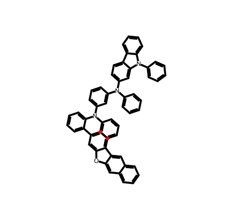 c1ccc(N(c2cccc(N(c3ccccc3)c3ccccc3-c3ccc4c(c3)oc3cc5ccccc5cc34)c2)c2ccc3c4ccccc4n(-c4ccccc4)c3c2)cc1